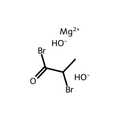 CC(Br)C(=O)Br.[Mg+2].[OH-].[OH-]